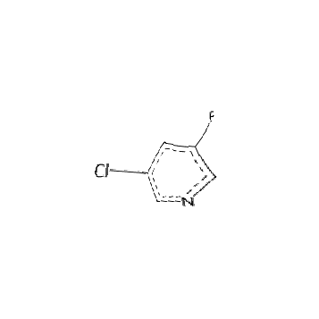 Fc1cncc(Cl)c1